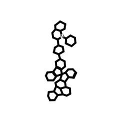 C1=CC2C3C4CCCC5C6CCCCC6C(CC3C3(C6=C(CCCC6)C6=C3CCC(C3CCC(C7CCC8CCCCC8N7C7CCCCC7)CC3)C6)C2CC1)C54